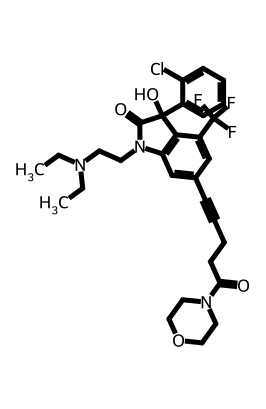 CCN(CC)CCN1C(=O)C(O)(c2ccccc2Cl)c2c1cc(C#CCCC(=O)N1CCOCC1)cc2C(F)(F)F